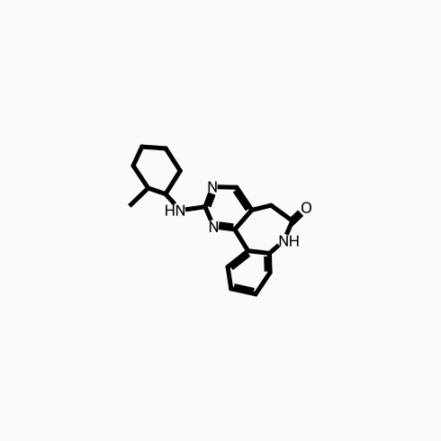 CC1CCCCC1Nc1ncc2c(n1)-c1ccccc1NC(=O)C2